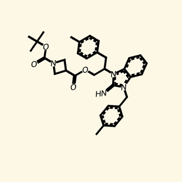 Cc1ccc(CC(COC(=O)C2CN(C(=O)OC(C)(C)C)C2)n2c(=N)n(Cc3ccc(C)cc3)c3ccccc32)cc1